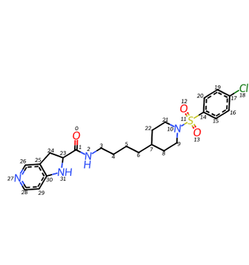 O=C(NCCCCC1CCN(S(=O)(=O)c2ccc(Cl)cc2)CC1)C1Cc2cnccc2N1